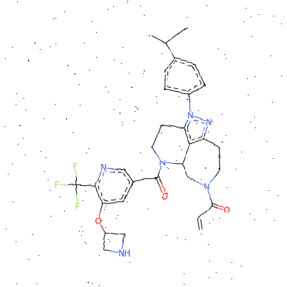 C=CC(=O)N1CCc2nn(-c3ccc(C(C)C)cc3)c3c2C(C1)N(C(=O)c1cnc(C(F)(F)F)c(OC2CNC2)c1)CC3